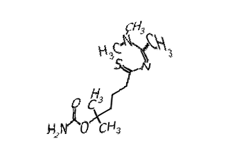 CC(=NC(=S)CCCC(C)(C)OC(N)=O)N(C)C